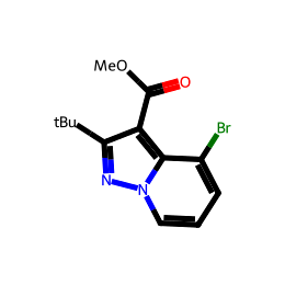 COC(=O)c1c(C(C)(C)C)nn2cccc(Br)c12